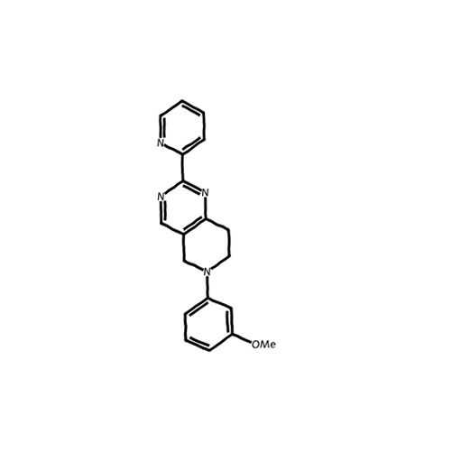 COc1cccc(N2CCc3nc(-c4ccccn4)ncc3C2)c1